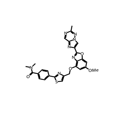 COc1cc(OCc2csc(-c3ccc(C(=O)N(C)C)cc3)n2)c2nc(-c3cn4nc(C)ncc4n3)oc2c1